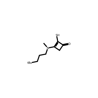 CN(CCCC(C)(C)C)C1=C(S)C(=O)C1